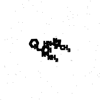 Cc1cnc(Nc2cc(CN3CCCCC3)nc(N)n2)s1